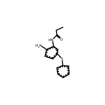 CCC(=O)Nc1cc(Sc2ccccc2)ccc1N